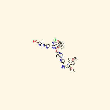 COc1cc2[nH]nc(-c3ccc(N4CCN5C[C@H](OC(=O)n6nc(-c7ccc(N8CCN9C[C@H](O)C[C@H]9C8)nc7)c7nc(Cl)c(OC)c(C(C)(C)C)c76)C[C@H]5C4)nc3)c2nc1-c1cccc(OC)c1C